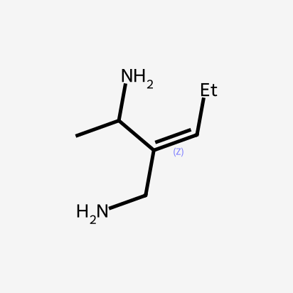 CC/C=C(/CN)C(C)N